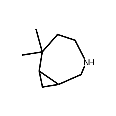 CC1(C)CCNCC2CC21